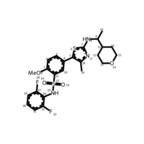 COc1ccc(-c2sc(NC(C)C3CCOCC3)nc2C)cc1S(=O)(=O)Nc1c(F)cccc1F